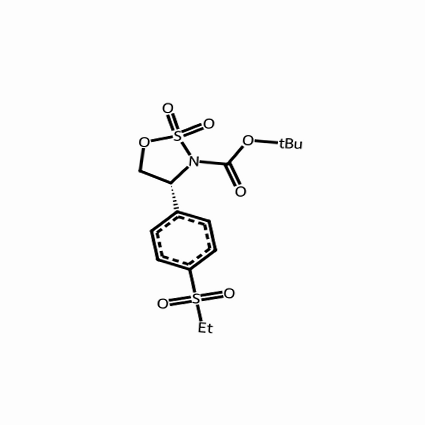 CCS(=O)(=O)c1ccc([C@@H]2COS(=O)(=O)N2C(=O)OC(C)(C)C)cc1